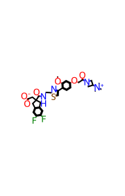 COc1cc(OCC(=O)N2CC([N+](C)(C)C)C2)ccc1-c1csc(CNC(=O)C2(CC(=O)[O-])Cc3cc(F)c(F)cc3C2)n1